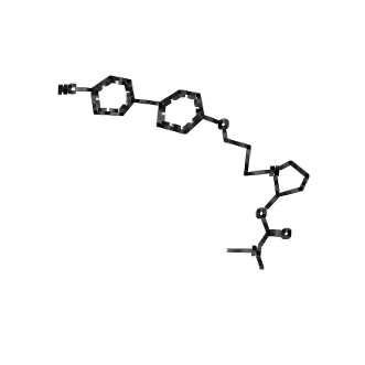 CN(C)C(=O)OC1CCCN1CCCOc1ccc(-c2ccc(C#N)cc2)cc1